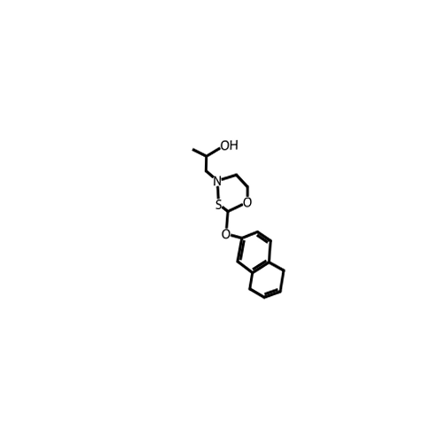 CC(O)CN1CCOC(Oc2ccc3c(c2)CC=CC3)S1